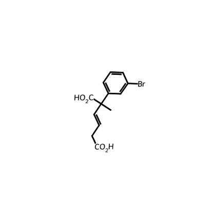 CC(/C=C/CC(=O)O)(C(=O)O)c1cccc(Br)c1